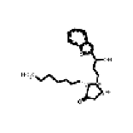 O=C(O)CCCCCC[C@H]1C(=O)C[C@@H](F)[C@@H]1CCC(O)c1cc2ccccc2s1